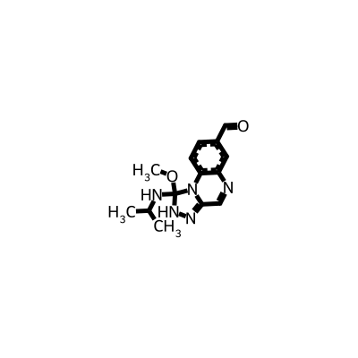 COC1(NC(C)C)NN=C2C=Nc3cc(C=O)ccc3N21